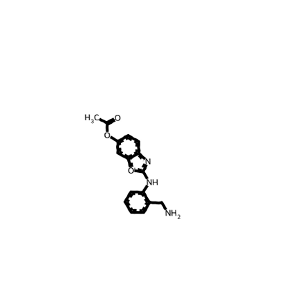 CC(=O)Oc1ccc2nc(Nc3ccccc3CN)oc2c1